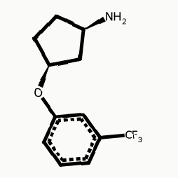 N[C@@H]1CC[C@H](Oc2cccc(C(F)(F)F)c2)C1